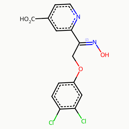 O=C(O)c1ccnc(/C(COc2ccc(Cl)c(Cl)c2)=N/O)c1